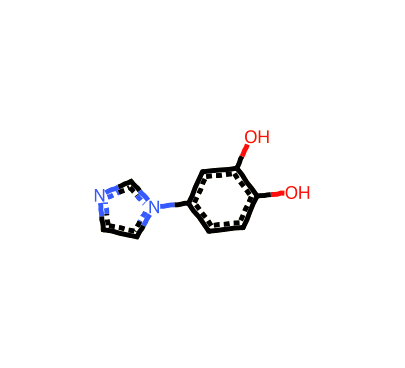 Oc1ccc(-n2ccnc2)cc1O